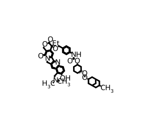 CC[C@@]1(OCc2ccc(NC(=O)OC3CCC[C@@H](OOC4CC5CC(C)CC(C5)C4)C3)cc2)C(=O)OCc2c1cc1n(c2=O)Cc2cc3c(CN(C)C)c(O)ccc3nc2-1